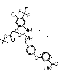 CNC(=O)c1cc(Oc2ccc(CNC(=O)Nc3cc(C(F)(F)F)c(Cl)cc3OCC(=O)OC(C)(C)C)cc2)ccn1